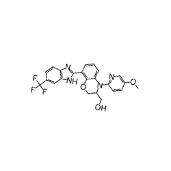 COc1ccc(N2c3cccc(-c4nc5ccc(C(F)(F)F)cc5[nH]4)c3OCC2CO)nc1